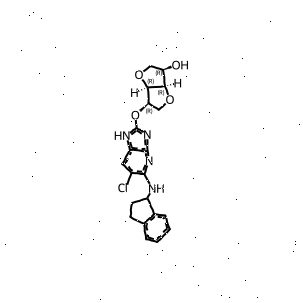 O[C@@H]1CO[C@H]2[C@@H]1OC[C@H]2Oc1nc2nc(NC3CCc4ccccc43)c(Cl)cc2[nH]1